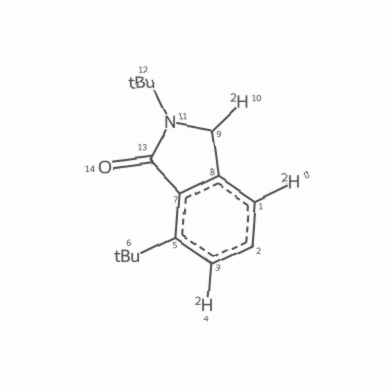 [2H]c1cc([2H])c(C(C)(C)C)c2c1C([2H])N(C(C)(C)C)C2=O